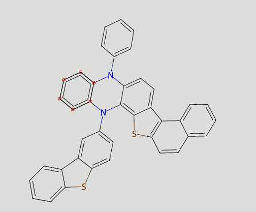 c1ccc(N(c2ccccc2)c2ccc3c(sc4ccc5ccccc5c43)c2N(c2ccccc2)c2ccc3sc4ccccc4c3c2)cc1